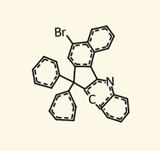 Brc1cc2c(c3ccccc13)-c1nc3ccccc3cc1C2(c1ccccc1)c1ccccc1